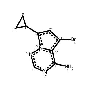 Nc1ncnn2c(C3CC3)cc(Br)c12